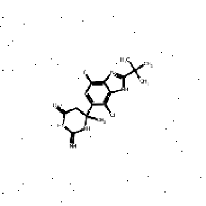 CC(C)(C)c1nc2c(F)cc(C3(C)CC(=O)NC(=N)N3)c(Cl)c2[nH]1